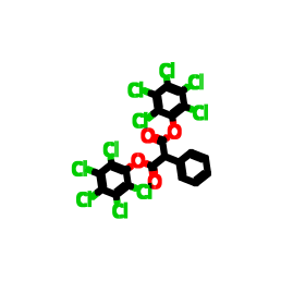 O=C(Oc1c(Cl)c(Cl)c(Cl)c(Cl)c1Cl)C(C(=O)Oc1c(Cl)c(Cl)c(Cl)c(Cl)c1Cl)c1ccccc1